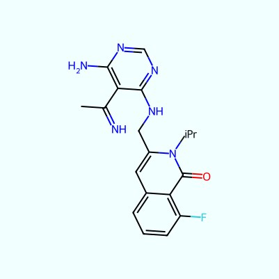 CC(=N)c1c(N)ncnc1NCc1cc2cccc(F)c2c(=O)n1C(C)C